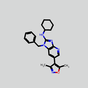 Cc1noc(C)c1-c1cnc2nc(NC3CCCCC3)n(Cc3ccccc3)c2c1